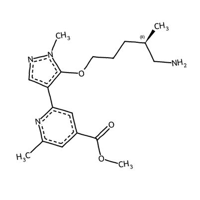 COC(=O)c1cc(C)nc(-c2cnn(C)c2OCCC[C@@H](C)CN)c1